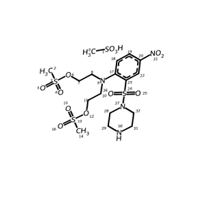 CS(=O)(=O)O.CS(=O)(=O)OCCN(CCOS(C)(=O)=O)c1ccc([N+](=O)[O-])cc1S(=O)(=O)N1CCNCC1